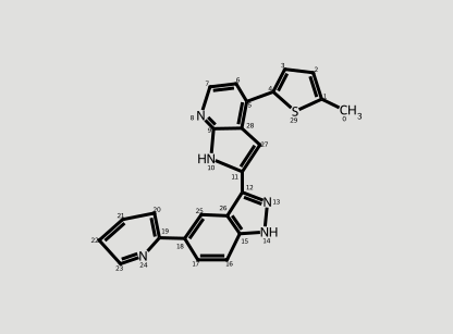 Cc1ccc(-c2ccnc3[nH]c(-c4n[nH]c5ccc(-c6ccccn6)cc45)cc23)s1